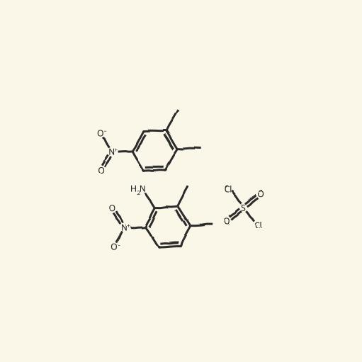 Cc1ccc([N+](=O)[O-])c(N)c1C.Cc1ccc([N+](=O)[O-])cc1C.O=S(=O)(Cl)Cl